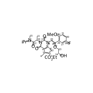 CCOC(=O)c1sc2c(c1C)c(=O)n(C(C)C(=O)N(C)C(C)C)c(=O)n2C[C@H](OCCO)c1cc(F)ccc1OC